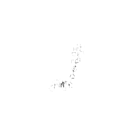 COC(=O)N[C@H](C(=O)N1CCC[C@H]1c1ncc(C23CCC(c4ccc(-c5cnc([C@@H]6CCCN6C(=O)[C@@H](NC(=O)N6CCCCC6)C(C)C)[nH]5)cc4)(CC2)CC3)[nH]1)C(C)C